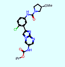 CO[C@@H]1CCN(C(=O)Nc2ccc(Cl)c(-c3cn4cc(NC(=O)OC(C)C)cnc4n3)c2)C1